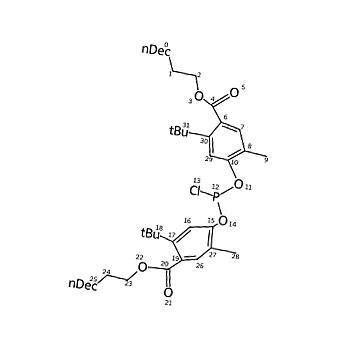 CCCCCCCCCCCCOC(=O)c1cc(C)c(OP(Cl)Oc2cc(C(C)(C)C)c(C(=O)OCCCCCCCCCCCC)cc2C)cc1C(C)(C)C